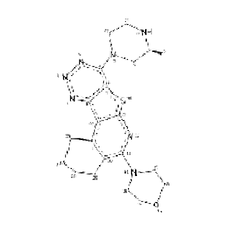 C[C@H]1CN(c2nnnc3c2sc2nc(N4CCOCC4)c4c(c23)CCCC4)CCN1